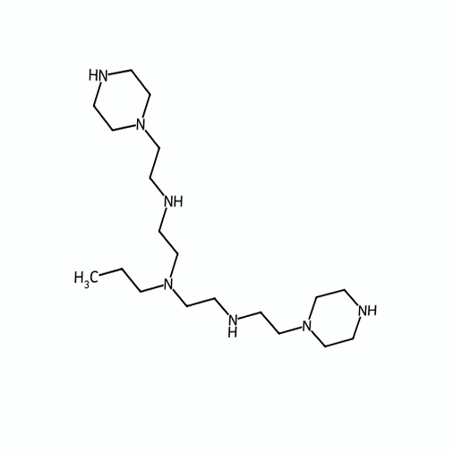 CCCN(CCNCCN1CCNCC1)CCNCCN1CCNCC1